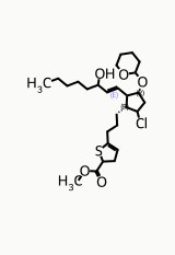 CCCCCC(O)/C=C/C1[C@@H](CCCC2=CCC(C(=O)OC)S2)C(Cl)C[C@H]1OC1CCCCO1